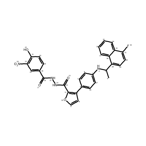 CC(Nc1ccc(-c2ccoc2C(=O)NNC(=O)c2ccc(O)c([N+](=O)[O-])c2)cc1)c1ccc(F)c2ccccc12